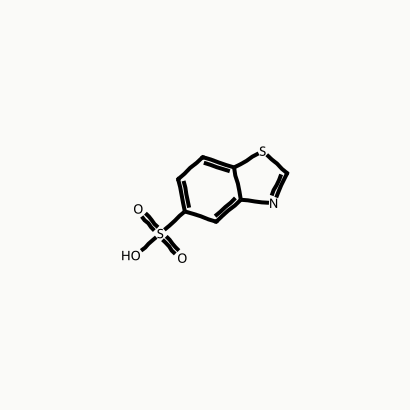 O=S(=O)(O)c1ccc2scnc2c1